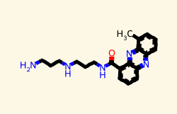 Cc1cccc2nc3cccc(C(=O)NCCCNCCCN)c3nc12